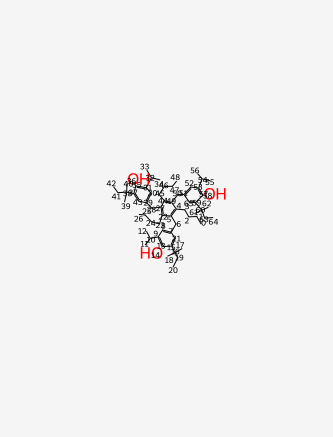 CCCCc1c(Cc2cc(C(C)C)c(O)c(C(C)(C)CC)c2)c(CCCC)c(Cc2cc(C(C)C)c(O)c(C(C)(C)CC)c2)c(CCCC)c1Cc1cc(C(C)C)c(O)c(C(C)(C)CC)c1